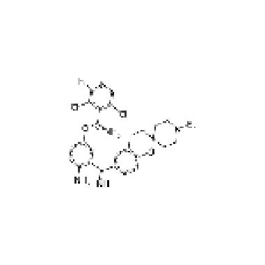 CCN1CCC2(CCc3cc(C(=N)c4cc(O[C@H](N)c5c(Cl)cnc(F)c5Cl)ccc4N)ccc3O2)CC1